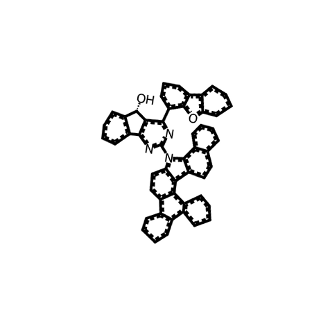 O[C@H]1c2ccccc2-c2nc(-n3c4ccc5c6ccccc6c6ccccc6c5c4c4ccc5ccccc5c43)nc(-c3cccc4c3oc3ccccc34)c21